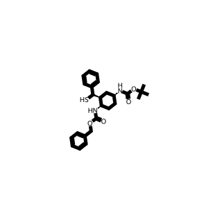 CC(C)(C)OC(=O)N[C@@H]1CC[C@H](NC(=O)OCc2ccccc2)[C@@H](C(S)c2ccccc2)C1